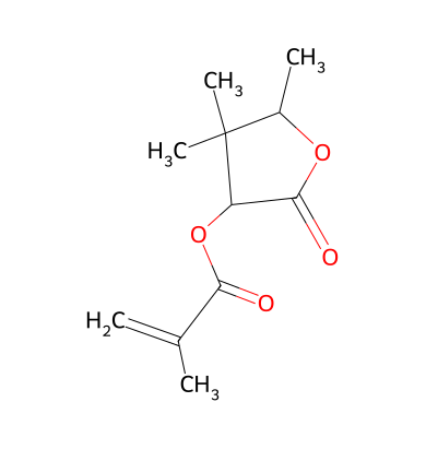 C=C(C)C(=O)OC1C(=O)OC(C)C1(C)C